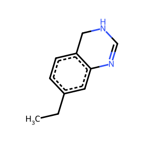 CCc1ccc2c(c1)N=CNC2